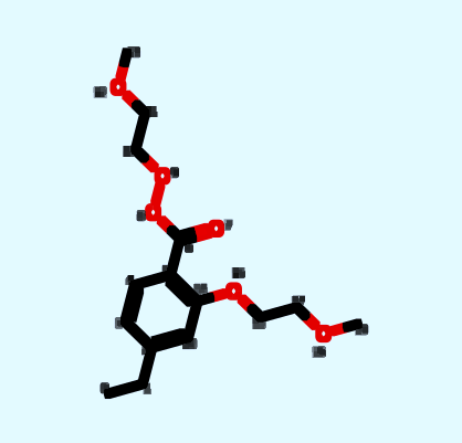 CCc1ccc(C(=O)OOCCOC)c(OCCOC)c1